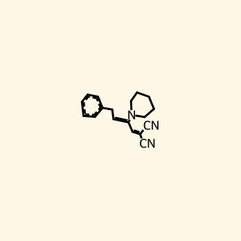 N#CC(C#N)=CC(=CCc1ccccc1)N1CCCCC1